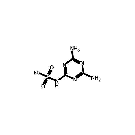 CCS(=O)(=O)Nc1nc(N)nc(N)n1